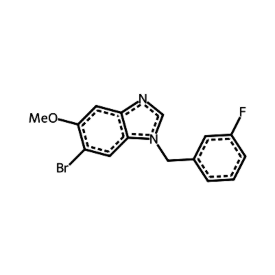 COc1cc2ncn(Cc3cccc(F)c3)c2cc1Br